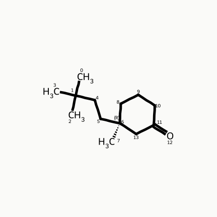 CC(C)(C)CC[C@@]1(C)CCCC(=O)C1